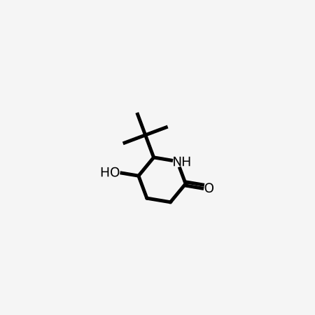 CC(C)(C)C1NC(=O)CCC1O